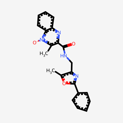 Cc1oc(-c2ccccc2)nc1CNC(=O)c1nc2ccccc2[n+]([O-])c1C